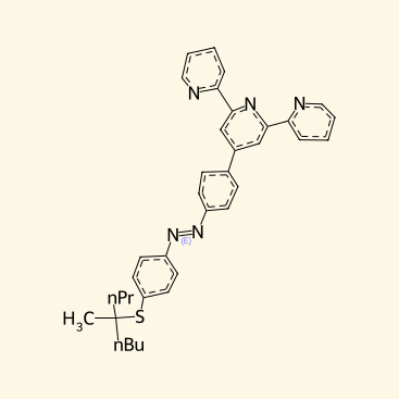 CCCCC(C)(CCC)Sc1ccc(/N=N/c2ccc(-c3cc(-c4ccccn4)nc(-c4ccccn4)c3)cc2)cc1